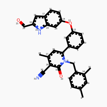 Cc1ccc(Cn2c(-c3cccc(Oc4ccc5cc(C=O)[nH]c5c4)c3)cc(C)c(C#N)c2=O)c(C)c1